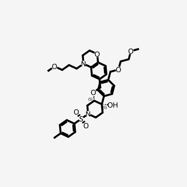 COCCCN1CCOc2ccc(CO[C@H]3CN(S(=O)(=O)c4ccc(C)cc4)CC[C@]3(O)c3ccc(COCCOC)cc3)cc21